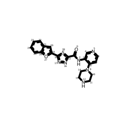 O=C(Nc1cnccc1N1CCNCC1)c1nnc(-c2cc3ccccc3o2)s1